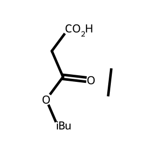 CC.CCC(C)OC(=O)CC(=O)O